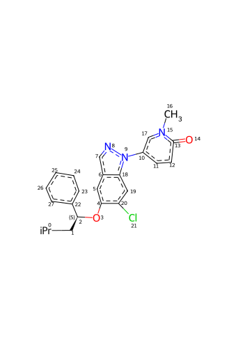 CC(C)C[C@H](Oc1cc2cnn(-c3ccc(=O)n(C)c3)c2cc1Cl)c1ccccc1